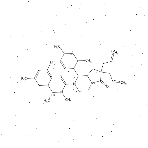 C=CCC1(CC=C)CC2C(C3C=CC(C)=CC3C)N(C(=O)N(C)[C@H](C)c3cc(C(F)(F)F)cc(C(F)(F)F)c3)CCN2C1=O